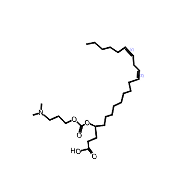 CCCCC/C=C\C/C=C\CCCCCCCCC(CCC(=O)O)OC(=O)OCCCN(C)C